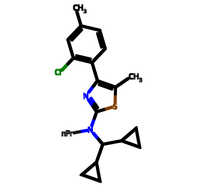 CCCN(c1nc(-c2ccc(C)cc2Cl)c(C)s1)C(C1CC1)C1CC1